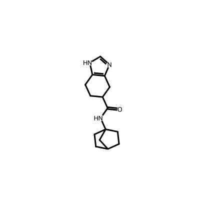 O=C(NC12CCC(CC1)C2)C1CCc2[nH]cnc2C1